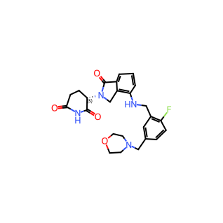 O=C1CC[C@H](N2Cc3c(NCc4cc(CN5CCOCC5)ccc4F)cccc3C2=O)C(=O)N1